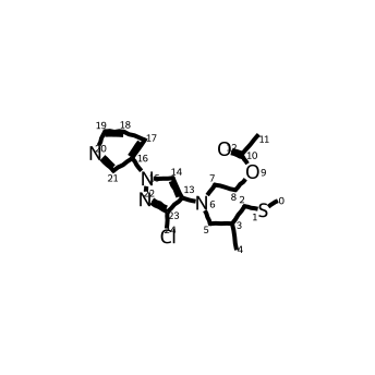 CSCC(C)CN(CCOC(C)=O)c1cn(-c2cccnc2)nc1Cl